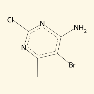 Cc1nc(Cl)nc(N)c1Br